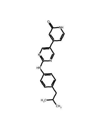 CC(C)Cc1ccc(Nc2ncc(-c3cc[nH]c(=O)c3)cn2)cc1